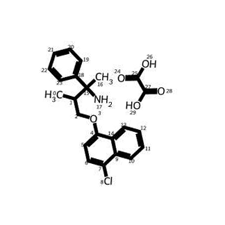 CC(COc1ccc(Cl)c2ccccc12)C(C)(N)c1ccccc1.O=C(O)C(=O)O